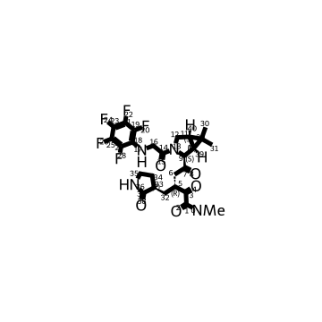 CNC(=O)C(=O)[C@@H](CC(=O)[C@@H]1[C@@H]2[C@H](CN1C(=O)CNc1c(F)c(F)c(F)c(F)c1F)C2(C)C)C[C@@H]1CCNC1=O